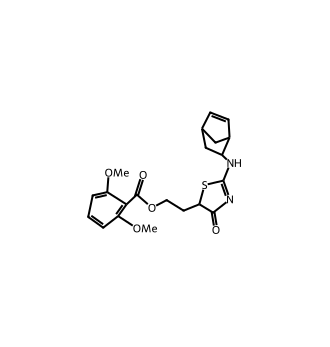 COc1cccc(OC)c1C(=O)OCCC1SC(NC2CC3C=CC2C3)=NC1=O